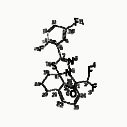 O=C(C(F)F)N1N=C(c2cc(F)ccc2F)SC12CCCc1ccccc12